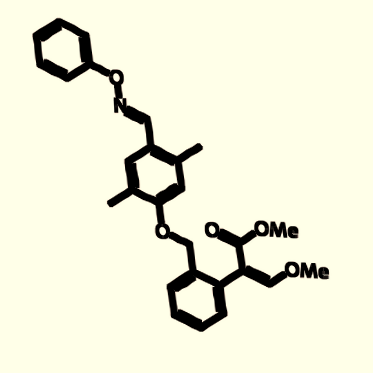 COC=C(C(=O)OC)c1ccccc1COc1cc(C)c(C=NOc2ccccc2)cc1C